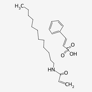 C=CC(=O)NCCCCCCCCCCCC.O=S(=O)(O)C=Cc1ccccc1